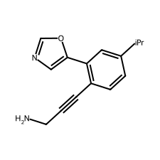 CC(C)c1ccc(C#CCN)c(-c2cnco2)c1